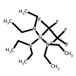 CCN(CC)[Si](N(CC)CC)(N(CC)CC)C(F)(F)C(F)(F)F